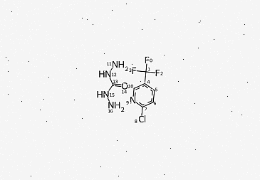 FC(F)(F)c1ccc(Cl)nc1.NNC(=O)NN